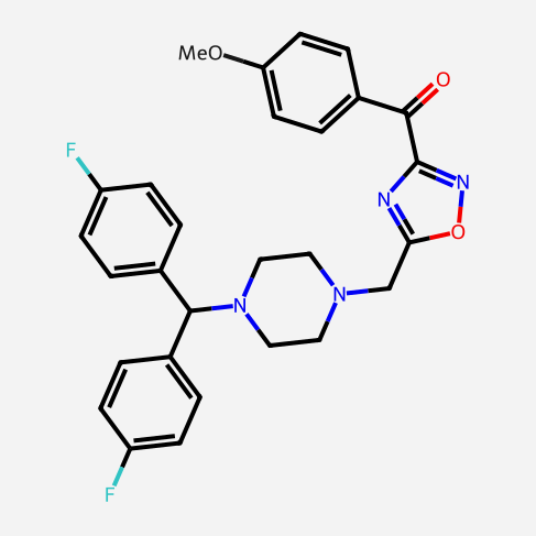 COc1ccc(C(=O)c2noc(CN3CCN(C(c4ccc(F)cc4)c4ccc(F)cc4)CC3)n2)cc1